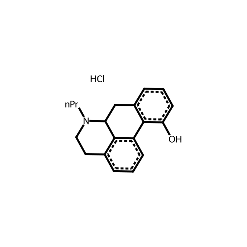 CCCN1CCc2cccc3c2C1Cc1cccc(O)c1-3.Cl